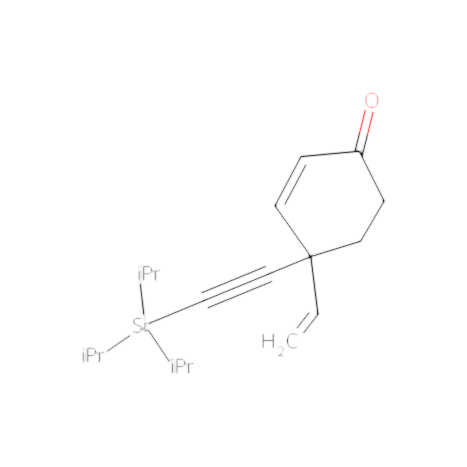 C=CC1(C#C[Si](C(C)C)(C(C)C)C(C)C)C=CC(=O)CC1